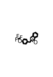 O=C1c2ccccc2CN1Cc1ccc(OC(F)(F)F)cc1